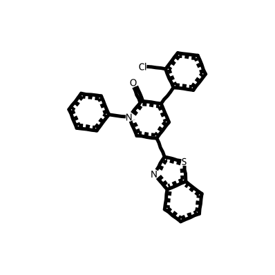 O=c1c(-c2ccccc2Cl)cc(-c2nc3ccccc3s2)cn1-c1ccccc1